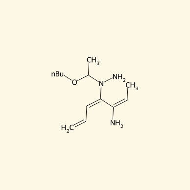 C=C/C=C(\C(N)=C/C)N(N)C(C)OCCCC